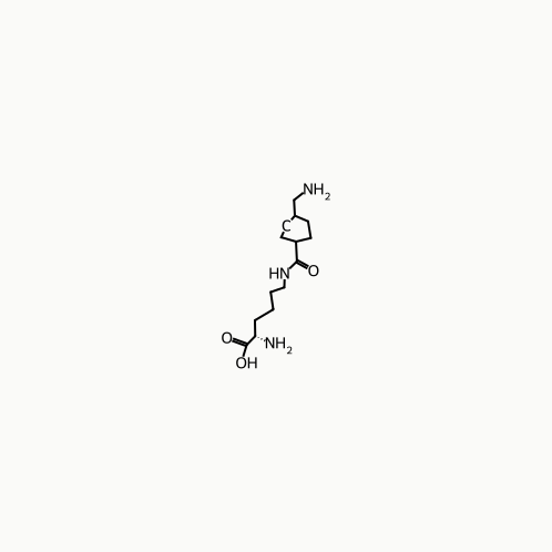 NCC1CCC(C(=O)NCCCC[C@H](N)C(=O)O)CC1